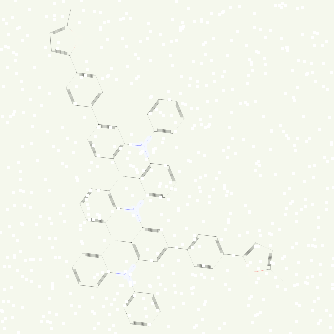 Cc1ccc(-c2ccc(-c3ccc4c(c3)N(c3ccccc3)c3cccc5c3B4c3cccc4c3N5c3cc(-c5ccc(-c6ccc(C)o6)cc5)cc5c3B4c3ccccc3N5c3ccccc3)cc2)o1